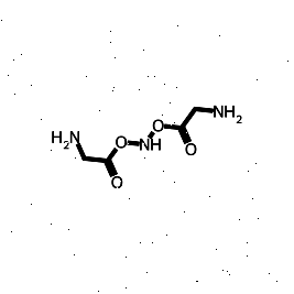 NCC(=O)ONOC(=O)CN